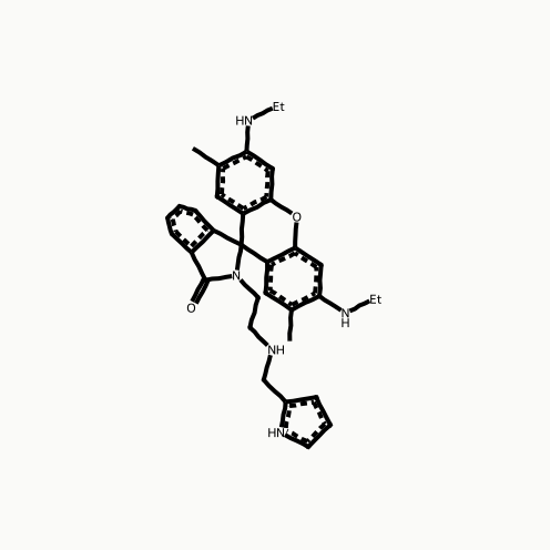 CCNc1cc2c(cc1C)C1(c3cc(C)c(NCC)cc3O2)c2ccccc2C(=O)N1CCNCc1ccc[nH]1